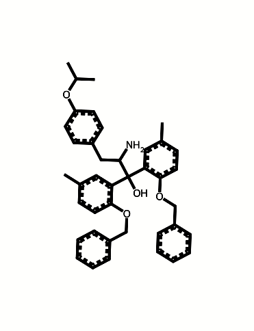 Cc1ccc(OCc2ccccc2)c(C(O)(c2cc(C)ccc2OCc2ccccc2)C(N)Cc2ccc(OC(C)C)cc2)c1